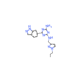 CCCn1ccc(CNc2nc(N)nc(-c3ccc4cn[nH]c4c3)n2)n1